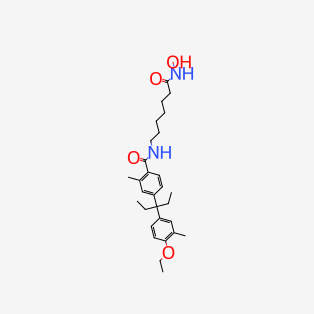 CCOc1ccc(C(CC)(CC)c2ccc(C(=O)NCCCCCCC(=O)NO)c(C)c2)cc1C